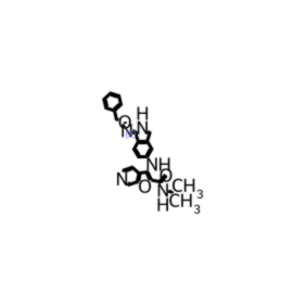 CC(C)NC(=O)c1oc2cnccc2c1Nc1ccc2c(c1)CN/C2=N\OCc1ccccc1